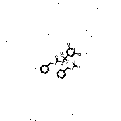 CC(C)(NC(=O)OCc1ccccc1)c1cc(Cl)nc(Cl)c1.O=C(Cl)OCc1ccccc1